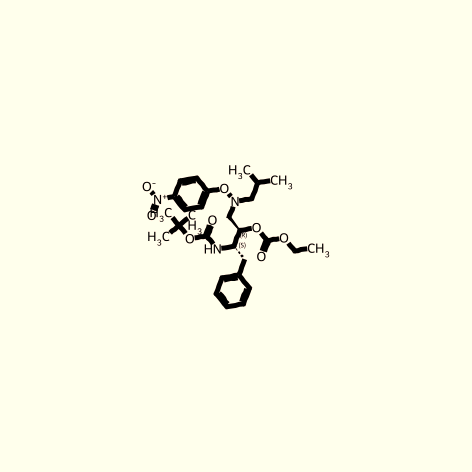 CCOC(=O)O[C@H](CN(CC(C)C)Oc1ccc([N+](=O)[O-])cc1)[C@H](Cc1ccccc1)NC(=O)OC(C)(C)C